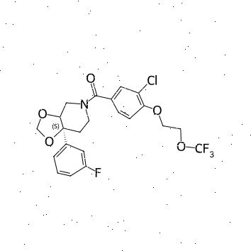 O=C(c1ccc(OCCOC(F)(F)F)c(Cl)c1)N1CC[C@@]2(c3cccc(F)c3)OCOC2C1